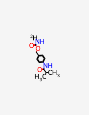 [2H]NC(=O)OCc1ccc(NC(=O)C(C)C)cc1